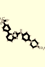 CS(=O)(=O)c1ccc(-c2cccc3nc(Nc4ccc(N5CCN(C(=O)O)CC5)cc4)nn23)cc1